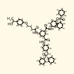 CC(O)c1ccc(OCCCC(=O)Nc2cc(C(=O)Nc3ccc(CP(=O)(c4ccccc4)c4ccccc4)cc3)cc(C(=O)Nc3ccc(OP(=O)(c4ccccc4)c4ccccc4)cc3)c2)cc1